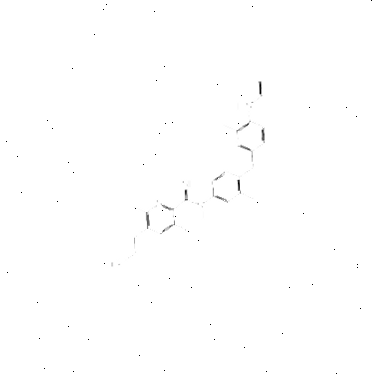 C=CNc1ccc(Cc2ccc(NC(=N)c3nc(C)c(CCC(C)CC)cc3C)cc2C)cc1C